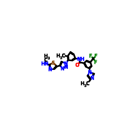 CNc1ncc(-c2cn(-c3cc(NC(=O)c4cc(-n5cnc(C)c5)cc(C(F)(F)F)c4)ccc3C)nn2)s1